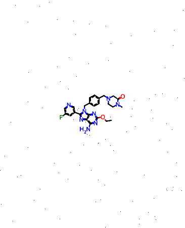 CCOc1nc(N)c2nc(-c3cncc(F)c3)n(Cc3ccc(CN4CCN(C)C(=O)C4)cc3)c2n1